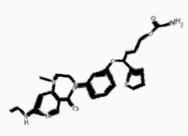 CCNc1cc2c(cn1)C(=O)N(c1cccc(OC(CCCOC(N)=O)c3cccs3)c1)CCN2C